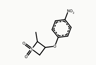 CC1C(Oc2ccc([N+](=O)[O-])cc2)CS1(=O)=O